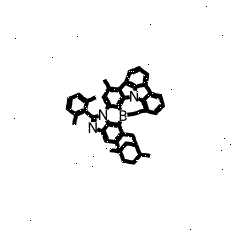 Cc1cccc(C)c1-c1nc2cc3c(c4c2n1-c1cc(C)c2c5cccc6c7cccc8c7n(c2c1B48)c65)CC1CC3(C)CCC1C